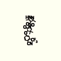 Cc1n[nH]c(C)c1S(=O)(=O)N1CC(C)(C)C(Oc2ccc(C#N)c(C(F)(F)F)c2)C1=O